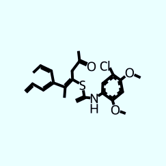 C=C/C=C(\C=C/C)C(/C)=C(\CC(C)=O)SC(=C)Nc1cc(Cl)c(OC)cc1OC